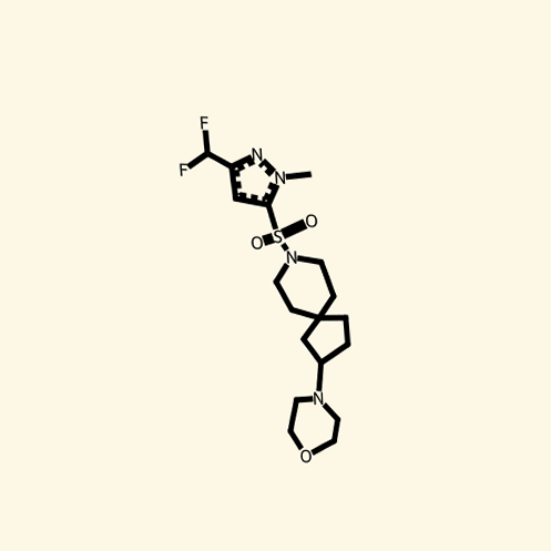 Cn1nc(C(F)F)cc1S(=O)(=O)N1CCC2(CCC(N3CCOCC3)C2)CC1